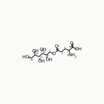 NC(CCC(=O)OC[C@@H](O)[C@@H](O)[C@H](O)[C@H](O)CO)C(=O)O